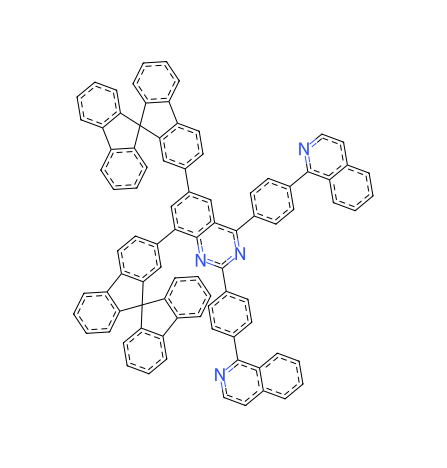 c1ccc2c(c1)-c1ccccc1C21c2ccccc2-c2ccc(-c3cc(-c4ccc5c(c4)C4(c6ccccc6-c6ccccc64)c4ccccc4-5)c4nc(-c5ccc(-c6nccc7ccccc67)cc5)nc(-c5ccc(-c6nccc7ccccc67)cc5)c4c3)cc21